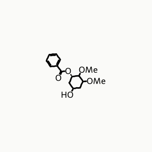 COC1CC(O)C[C@@H](OC(=O)c2ccccc2)C1OC